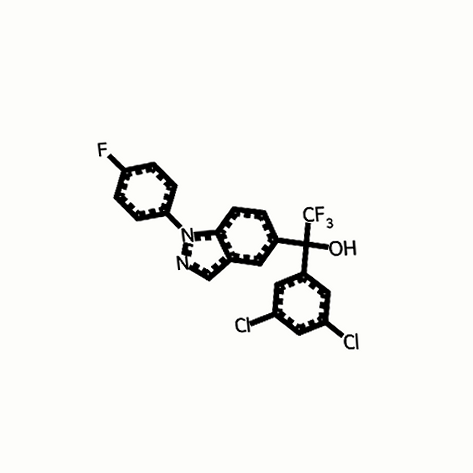 OC(c1cc(Cl)cc(Cl)c1)(c1ccc2c(cnn2-c2ccc(F)cc2)c1)C(F)(F)F